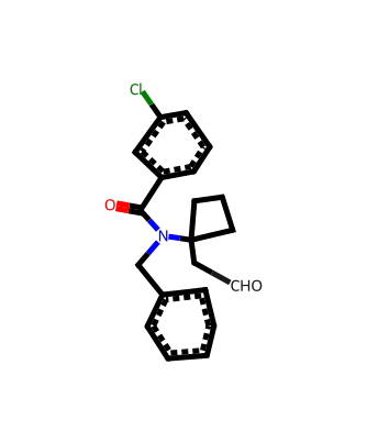 O=CCC1(N(Cc2ccccc2)C(=O)c2cccc(Cl)c2)CCC1